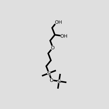 C[Si](C)(C)O[Si](C)(C)CCCOCC(O)CO